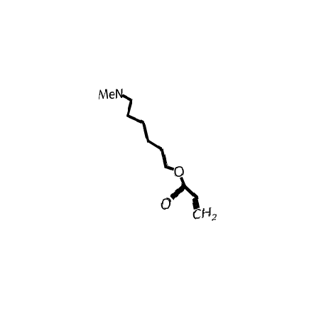 C=CC(=O)OCCCCCCNC